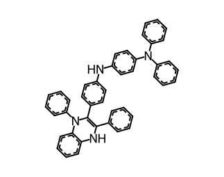 c1ccc(C2=C(c3ccc(Nc4ccc(N(c5ccccc5)c5ccccc5)cc4)cc3)N(c3ccccc3)c3ccccc3N2)cc1